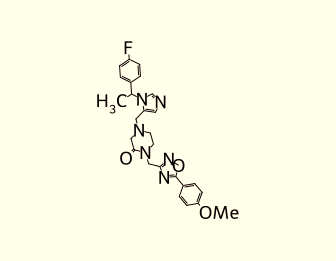 COc1ccc(-c2nc(CN3CCN(Cc4cncn4C(C)c4ccc(F)cc4)CC3=O)no2)cc1